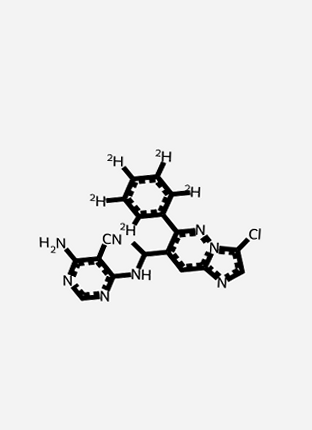 [2H]c1c([2H])c([2H])c(-c2nn3c(Cl)cnc3cc2C(C)Nc2ncnc(N)c2C#N)c([2H])c1[2H]